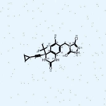 CC(F)(F)[C@@]1(C#CC2CC2)NC(=O)Nc2cc(Cn3c(Cl)n[nH]c3=O)c(F)cc21